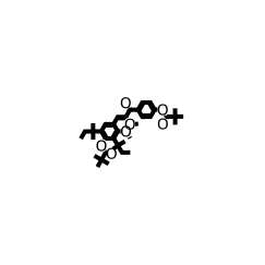 CCC(C)(C)c1cc(C=C(OC)C(=O)c2ccc(OC(=O)C(C)(C)C)cc2)c(OC)c(C(C)(C)CC)c1OC(=O)C(C)(C)C